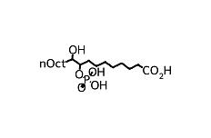 CCCCCCCCC(O)C(CCCCCCCC(=O)O)OP(=O)(O)O